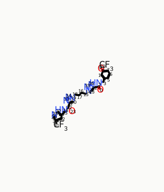 O=C(NCc1cccc(OC(F)(F)F)c1)c1cn(CCCCn2cc(C(=O)NCc3cncc(C(F)(F)F)c3)nn2)nn1